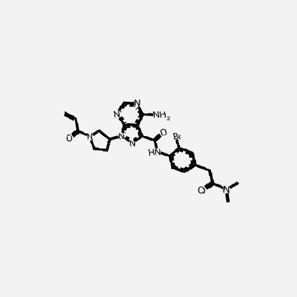 C=CC(=O)N1CCC(n2nc(C(=O)Nc3ccc(CC(=O)N(C)C)cc3Br)c3c(N)ncnc32)C1